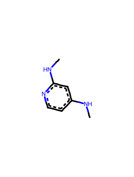 CNc1ccnc(NC)c1